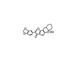 O=c1c(-c2ccc3c(c2)OCO3)coc2c3c(ccc12)OC1(O)CCCCC1C3